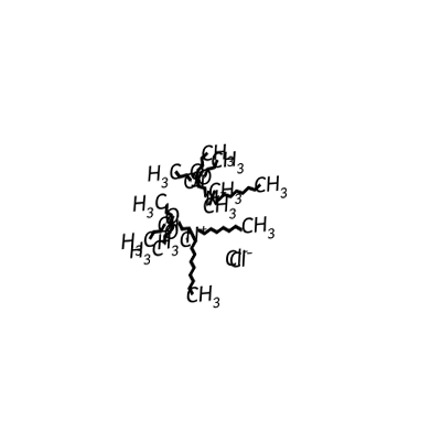 CCCCCCCCC[N+](C)(CCCCCCCCC)CCC[Si](OCCC)(OCCC)OCCC.CCCCCCCC[N+](C)(C)CCC[Si](OCCC)(OCCC)OCCC.[Cl-].[Cl-]